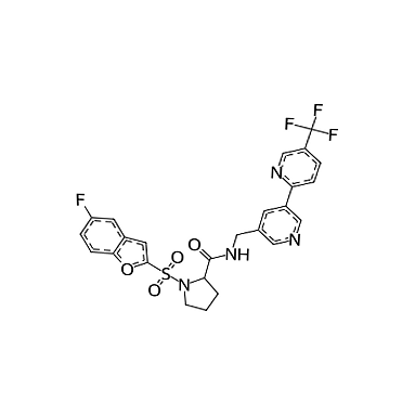 O=C(NCc1cncc(-c2ccc(C(F)(F)F)cn2)c1)C1CCCN1S(=O)(=O)c1cc2cc(F)ccc2o1